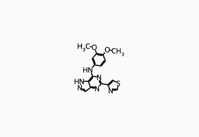 COc1ccc(Nc2nc(-c3cscn3)nc3cn[nH]c23)cc1OC